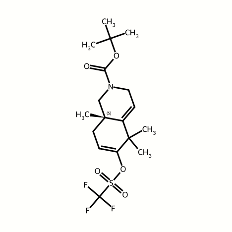 CC(C)(C)OC(=O)N1CC=C2C(C)(C)C(OS(=O)(=O)C(F)(F)F)=CC[C@]2(C)C1